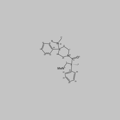 CNC[C@@](C)(C(=O)N1CCC(c2ccccc2)(N(C)C)CC1)c1ccccc1